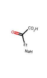 [CH2]CC(=O)C(=O)O.[NaH]